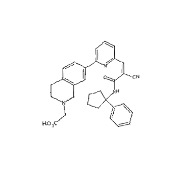 N#CC(=Cc1cccc(-c2ccc3c(c2)CN(CC(=O)O)CC3)n1)C(=O)NC1(c2ccccc2)CCCC1